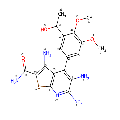 COc1cc(-c2c(N)c(N)nc3sc(C(N)=O)c(N)c23)cc(C(C)O)c1OC